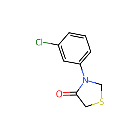 O=C1CSCN1c1cccc(Cl)c1